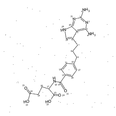 Nc1nc(N)c2c(CCCc3ccc(C(=O)NC(CCC(=O)O)C(=O)O)cc3)c[nH]c2n1